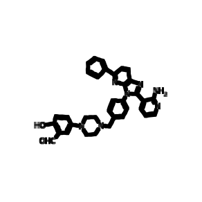 Nc1ncccc1-c1nc2ccc(-c3ccccc3)nc2n1-c1ccc(CN2CCN(c3ccc(O)c(C=O)c3)CC2)cc1